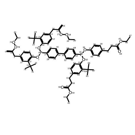 C=C(Cc1ccc(OP(Oc2ccc(CC(=C)OOCC)cc2C(C)(C)C)c2ccc(-c3ccc(P(Oc4ccc(CCC(=O)OCC)cc4)Oc4ccc(CCC(=O)OCC)cc4C(C)(C)C)cc3)cc2)c(C(C)(C)C)c1)OOCC